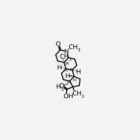 CN1C(=O)CC[C@@]2(C)C1CC[C@@H]1[C@H]2CC[C@@]2(C)[C@H]1CCC2(C)C(=O)O